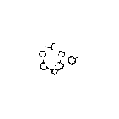 O=C(CO)N[C@@H]1CCN(c2cccc(-c3cnc4ccc(N5CCC[C@@H]5c5cccc(F)c5)nn34)n2)C1